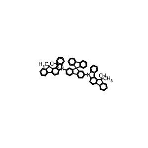 CC1(C)c2ccccc2-c2ccc3c(c21)c1ccccc1n3-c1ccc2c(c1)C1(c3ccccc3-c3ccccc31)c1cc(-n3c4ccccc4c4c5c(ccc43)-c3ccccc3C5(C)C)ccc1-2